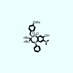 CCCCC1(CCCC)CN(c2ccccc2)c2cc(N(C)C)c(O)cc2S(=O)(=O)N1Cc1ccc(OC)cc1